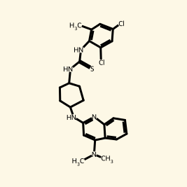 Cc1cc(Cl)cc(Cl)c1NC(=S)NC1CCC(Nc2cc(N(C)C)c3ccccc3n2)CC1